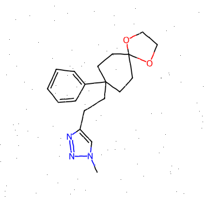 Cn1cc(CCC2(c3ccccc3)CCC3(CC2)OCCO3)nn1